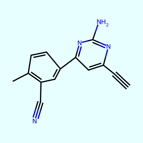 C#Cc1cc(-c2ccc(C)c(C#N)c2)nc(N)n1